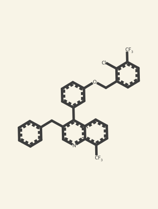 FC(F)(F)c1cccc(COc2cccc(-c3c(Cc4ccccc4)cnc4c(C(F)(F)F)cccc34)c2)c1Cl